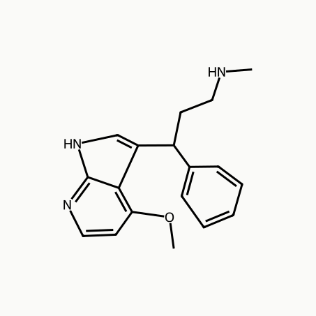 CNCCC(c1ccccc1)c1c[nH]c2nccc(OC)c12